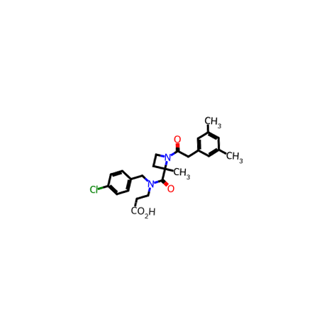 Cc1cc(C)cc(CC(=O)N2CCC2(C)C(=O)N(CCC(=O)O)Cc2ccc(Cl)cc2)c1